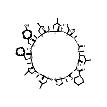 CC[C@H]1C(=O)N[C@@H](CC(C)C)C(=O)N(C)[C@@H](CC(C)C)C(=O)N(C)[C@@H](Cc2ccccc2)C(=O)N[C@@H](Cc2ccc(O)cc2)C(=O)N(C)[C@@H](CC(C)C)C(=O)N(C)[C@@H](CC(C)C)C(=O)N[C@@H]([C@@H](C)O)C(=O)N(C)CC(=O)N(C)[C@@H](CC(C)C)C(=O)N[C@H](C(=O)N2CCCCC2)CC(=O)N1C